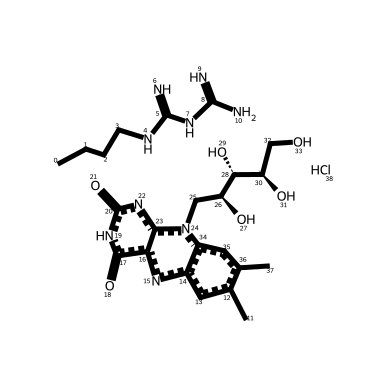 CCCCNC(=N)NC(=N)N.Cc1cc2nc3c(=O)[nH]c(=O)nc-3n(C[C@H](O)[C@H](O)[C@H](O)CO)c2cc1C.Cl